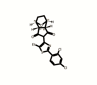 CCc1sc(-c2ccc(Cl)cc2Cl)nc1C1C(=O)[C@@H]2[C@H](C1=O)[C@H]1CC[C@@H]2O1